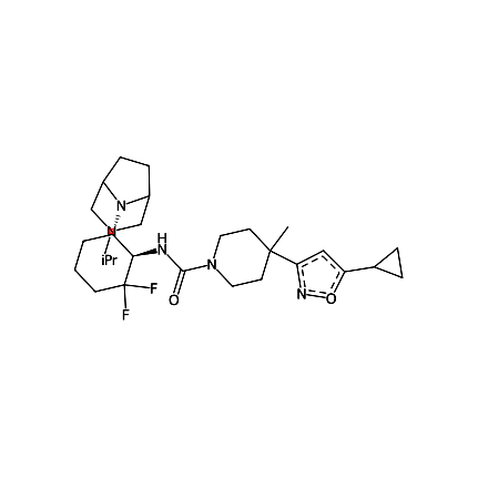 CC(C)N1CC2CCC(C1)N2[C@H]1CCCC(F)(F)[C@@H]1NC(=O)N1CCC(C)(c2cc(C3CC3)on2)CC1